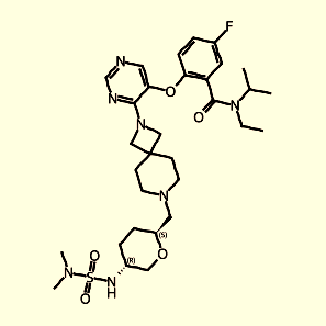 CCN(C(=O)c1cc(F)ccc1Oc1cncnc1N1CC2(CCN(C[C@@H]3CC[C@@H](NS(=O)(=O)N(C)C)CO3)CC2)C1)C(C)C